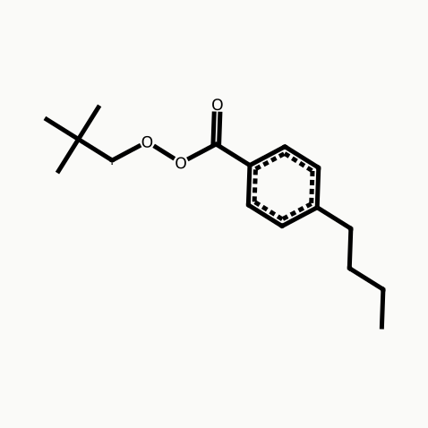 CCCCc1ccc(C(=O)OO[CH]C(C)(C)C)cc1